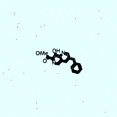 COC(=O)c1ncc2cc(Cc3ccccc3)cnc2c1O